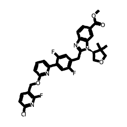 COC(=O)c1ccc2nc(Cc3cc(F)c(-c4cccc(OCc5ccc(Cl)nc5F)n4)cc3F)n([C@@H]3COCC3(C)C)c2c1